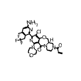 C=CC(=O)N1CCN2C(=O)c3c(N4CCOCC4)nc(-c4nc(N)cc(C)c4CC(F)(F)F)c(Cl)c3OC[C@H]2C1